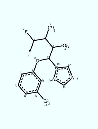 CC(C(F)F)C(O)C(Oc1cccc(C(F)(F)F)c1)n1cncn1